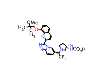 COC(C)(C)COc1cccc2ccc(-c3nnc4ccc([C@@H](N5CC[C@H](NC(=O)O)C5)C(F)(F)F)cn34)nc12